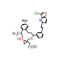 CC(CO)c1ccccc1CCC(SCC1(CC(=O)[O-])CC1)c1cccc(/C=C/c2ccc3scc(Cl)c3n2)c1.[Na+]